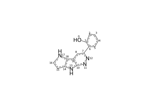 Oc1ccccc1-c1cc2c(nn1)[nH]c1cc[nH]c12